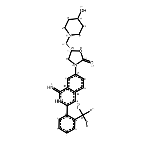 N=c1[nH]c(-c2ccccc2C(F)(F)F)cc2ccc(N3C[C@H](CN4CCC(O)CC4)OC3=O)cc12